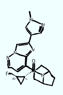 Cn1cc(-c2cn3nccc(N4CC5CCC(C4)N5C(=O)[C@@H]4C[C@H]4F)c3n2)cn1